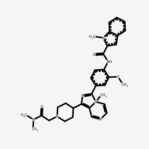 COc1cc(C2=NC(C3CCN(CC(=O)N(C)C)CC3)=C3C=NC=C[N+]23C)ccc1NC(=O)c1cc2ccccc2n1C